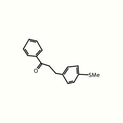 CSc1ccc(CCC(=O)c2ccccc2)cc1